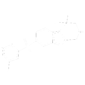 CC1(C)CNCc2oc3cc(S(=O)(=O)c4cncc(Cl)c4)ccc3c21